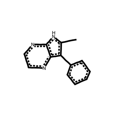 Cc1[nH]c2nccnc2c1-c1ccccc1